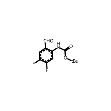 CC(C)(C)OC(=O)Nc1cc(F)c(F)cc1C=O